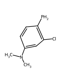 CN(C)c1ccc(P)c(Cl)c1